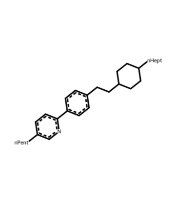 CCCCCCCC1CCC(CCc2ccc(-c3ccc(CCCCC)cn3)cc2)CC1